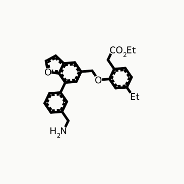 CCOC(=O)Cc1ccc(CC)cc1OCc1cc(-c2cccc(CN)c2)c2occc2c1